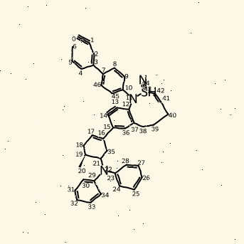 C#C/C=C(\C=C/C)c1ccc(N2c3c#cc(C4=CC[C@H](C)C(N(c5ccccc5)c5ccccc5)C4)cc3CCC/C=C\[SH]2#N)cc1